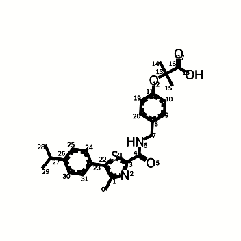 Cc1nc(C(=O)NCc2ccc(OC(C)(C)C(=O)O)cc2)sc1-c1ccc(C(C)C)cc1